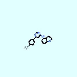 FC(F)(F)c1ccc(-c2cc(Nc3cccc4ncccc34)ncn2)cc1